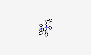 c1ccc(-c2nc3ccccc3c3c2cc(-n2c4ccccc4c4cc(-c5cccc6c5sc5ccccc56)ccc42)c2sc4ccccc4c23)cc1